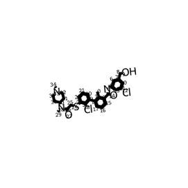 Cc1c(-c2nc3cc(CO)cc(Cl)c3o2)cccc1-c1cccc(SCC(=O)N(C)C2CCN(C)CC2)c1Cl